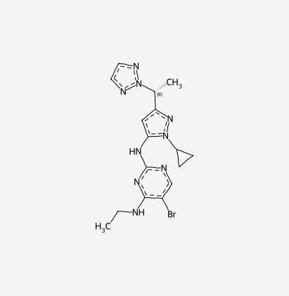 CCNc1nc(Nc2cc([C@@H](C)n3nccn3)nn2C2CC2)ncc1Br